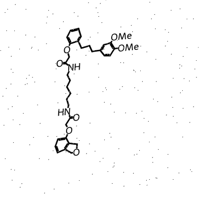 COc1ccc(CCCc2ccccc2OCC(=O)NCCCCCCNC(=O)COc2cccc3c2COC3)cc1OC